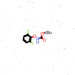 CC(C)(C)OC(=O)NOc1c(F)cccc1F